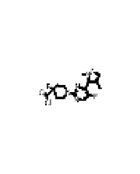 Cc1cnn(C)c1-c1nc(N2CCC(F)(C(=O)Cl)CC2)ncc1F